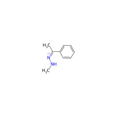 CN/N=C(/C)c1ccccc1